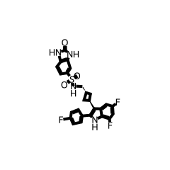 O=c1[nH]c2ccc(S(=O)(=O)NC[C@H]3C[C@H](c4c(-c5ccc(F)cc5)[nH]c5c(F)cc(F)cc54)C3)cc2[nH]1